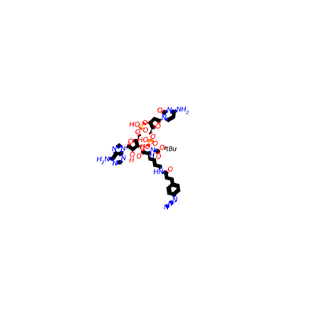 CC(C)(C)OC(=O)N[C@@H](CCCCNC(=O)CCc1ccc(N=[N+]=[N-])cc1)C(=O)O[C@H]1[C@@H](O)[C@H](n2cnc3c(N)ncnc32)O[C@@H]1COP(=O)(O)O[C@H]1C[C@H](n2ccc(N)nc2=O)O[C@@H]1COP(=O)(O)O